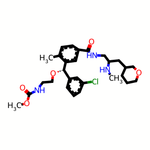 CNC(CNC(=O)c1ccc(C)c([C@@H](OCCNC(=O)OC)c2cccc(Cl)c2)c1)CC1CCCOC1